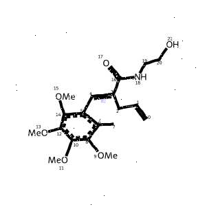 C=CC/C(=C\c1c(C)c(OC)c(OC)c(OC)c1OC)C(=O)NCCO